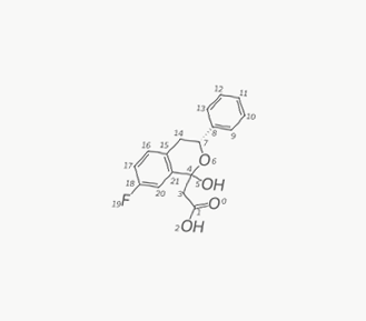 O=C(O)CC1(O)O[C@@H](c2ccccc2)Cc2ccc(F)cc21